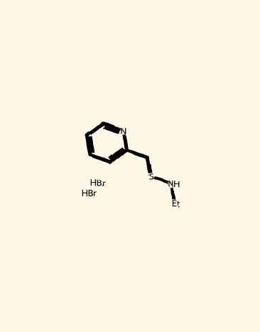 Br.Br.CCNSCc1ccccn1